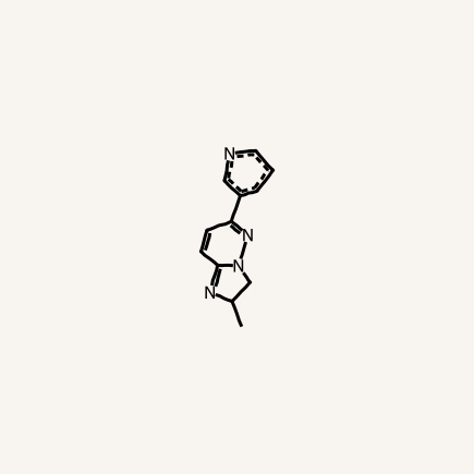 CC1CN2N=C(c3cccnc3)C=CC2=N1